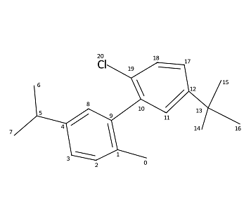 Cc1ccc(C(C)C)cc1-c1cc(C(C)(C)C)ccc1Cl